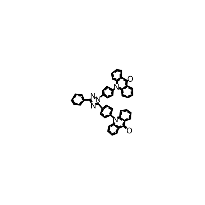 O=c1c2ccccc2n(-c2ccc(-c3nc(-c4ccccc4)nn3-c3ccc(-n4c5ccccc5c(=O)c5ccccc54)cc3)cc2)c2ccccc12